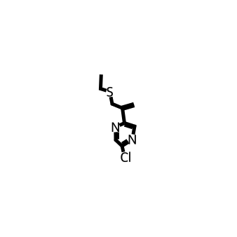 C=C(CSCC)c1cnc(Cl)cn1